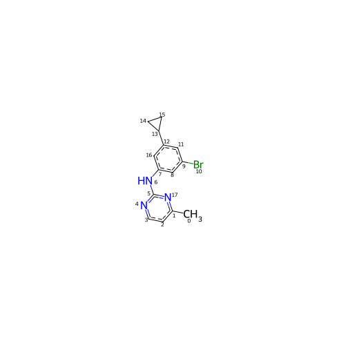 Cc1ccnc(Nc2cc(Br)cc(C3CC3)c2)n1